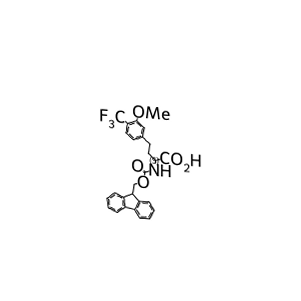 COc1cc(CC[C@H](NC(=O)OCC2c3ccccc3-c3ccccc32)C(=O)O)ccc1C(F)(F)F